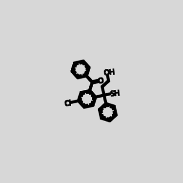 O=C(c1ccccc1)c1cc(Cl)ccc1C(S)(CCO)c1ccccc1